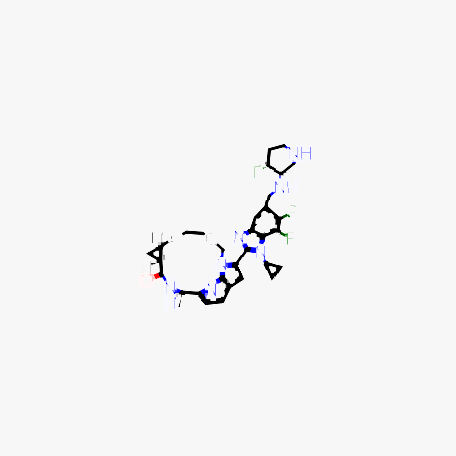 C[C@H]1NC(=O)[C@@H]2C[C@H]2CCCCCn2c(-c3nc4cc(CN[C@H]5CNCC[C@@H]5F)c(F)c(F)c4n3C3CC3)cc3ccc1nc32